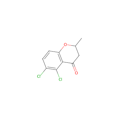 CC1CC(=O)c2c(ccc(Cl)c2Cl)O1